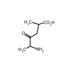 CC(N)C(=O)CC(C)C(=O)O